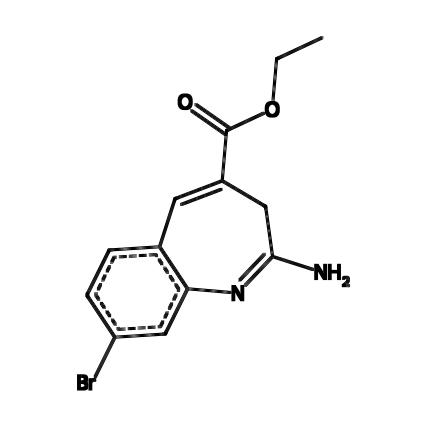 CCOC(=O)C1=Cc2ccc(Br)cc2N=C(N)C1